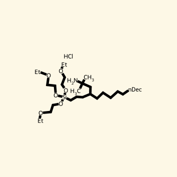 CCCCCCCCCCCCCCCC(CCC[Si](OCCOCC)(OCCOCC)OCCOCC)CC(C)(C)N.Cl